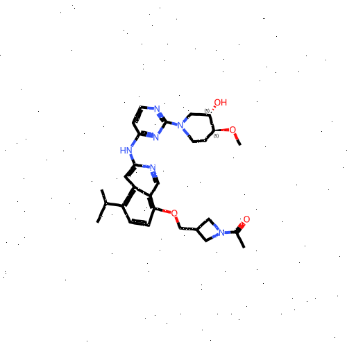 CO[C@H]1CCN(c2nccc(Nc3cc4c(C(C)C)ccc(OCC5CN(C(C)=O)C5)c4cn3)n2)C[C@@H]1O